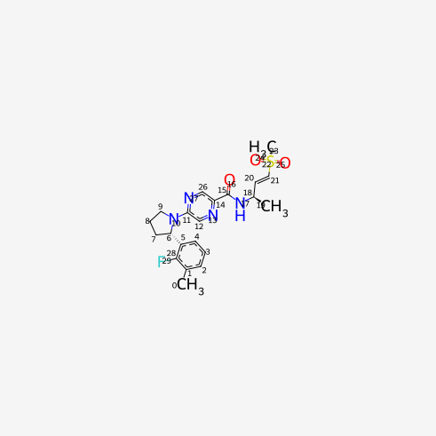 Cc1cccc([C@@H]2CCCN2c2cnc(C(=O)N[C@H](C)/C=C/S(C)(=O)=O)cn2)c1F